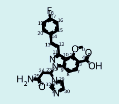 COc1c(C(=O)O)ccc2c1c(C=Cc1ccc(F)cc1)nn2C(CC(N)=O)n1ccnc1